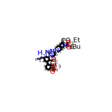 C/C=C/c1ccc(C(Oc2cc(N3CCC4(CC3)C[C@@H](C(=O)OCC)N(C(=O)OC(C)(C)C)C4)nc(N)n2)C(F)(F)F)c(-c2cccc(S(C)(=O)=O)c2)c1